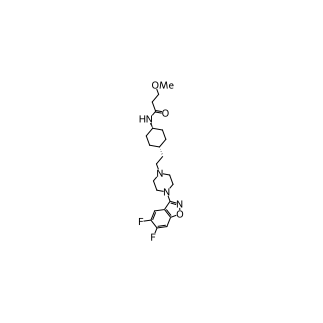 COCCC(=O)N[C@H]1CC[C@H](CCN2CCN(c3noc4cc(F)c(F)cc34)CC2)CC1